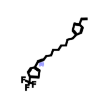 C=Cc1ccc(CCCCCCCC/C=C/c2ccc(C(F)(F)F)cc2)cc1